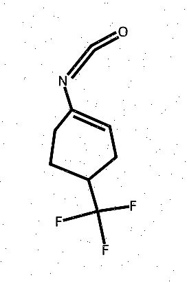 O=C=NC1=CCC(C(F)(F)F)CC1